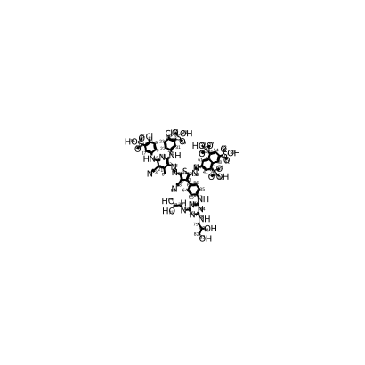 Cc1c(C#N)c(Nc2ccc(Cl)c(S(=O)(=O)O)c2)nc(Nc2ccc(Cl)c(S(=O)(=O)O)c2)c1N=Nc1sc(/N=N/c2cc(S(=O)(=O)O)c3cc(S(=O)(=O)O)cc(S(=O)(=O)O)c3c2)c(-c2ccc(Nc3nc(NCC(O)O)nc(NCC(O)CO)n3)cc2)c1C#N